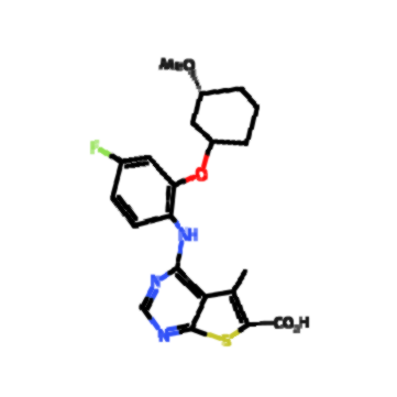 CO[C@@H]1CCCC(Oc2cc(F)ccc2Nc2ncnc3sc(C(=O)O)c(C)c23)C1